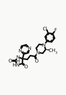 C[C@H]1CN(C(=O)CCC2(c3cnccn3)NC(=O)NC2=O)CCN1c1ccc(F)c(Cl)c1